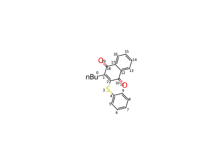 CCCCC1=C(Sc2ccccc2)C(=O)c2ccccc2C1=O